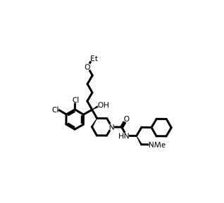 CCOCCCC[C@@](O)(c1cccc(Cl)c1Cl)[C@@H]1CCCN(C(=O)N[C@H](CNC)CC2CCCCC2)C1